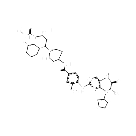 CC[C@@H]1C(=O)N(C)c2cnc(Nc3ccc(C(=O)NC4CCN(C(C[C@H](NC(=O)OC(C)(C)C)C(=O)O)[C@@H]5C[C@H](C)CC[C@H]5C(C)C)CC4)cc3OC)nc2N1C1CCCC1